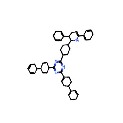 C1=CCC(C2C=CC(c3nc(C4=CCC(C5=CCCC=C5)CC4)nc(C4CCC(C5NC(C6=CCCC=C6)=CCC5C5=CCCC=C5)CC4)n3)CC2)C=C1